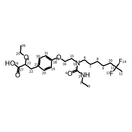 CCNC(=O)N(CCCCCC(C)(F)F)CCOc1ccc(CC(OCC)C(=O)O)cc1